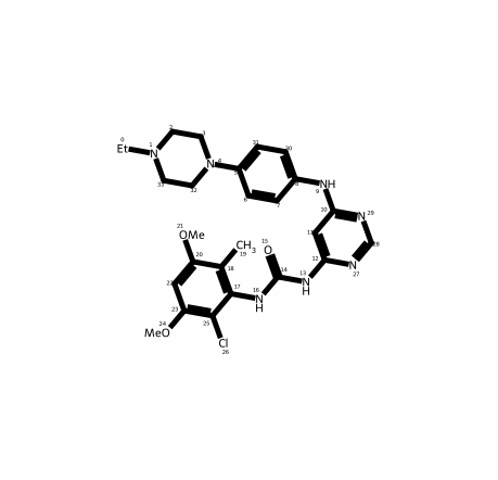 CCN1CCN(c2ccc(Nc3cc(NC(=O)Nc4c(C)c(OC)cc(OC)c4Cl)ncn3)cc2)CC1